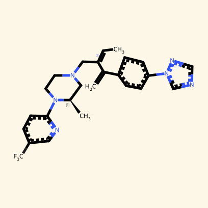 C=C(/C(=C\C)CN1CCN(c2ccc(C(F)(F)F)cn2)[C@H](C)C1)c1ccc(-n2cncn2)cc1